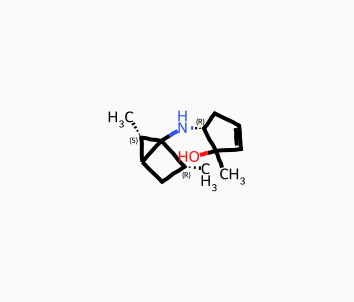 C[C@@H]1CC2[C@H](C)C21N[C@@H]1CC=CC1(C)O